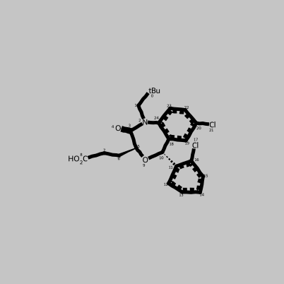 CC(C)(C)CN1C(=O)[C@H](CCC(=O)O)O[C@@H](c2ccccc2Cl)c2cc(Cl)ccc21